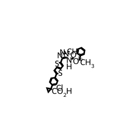 C[C@@H](OC(=O)Nc1c(-c2cc3sc(-c4ccc(C5(C(=O)O)CC5)c(Cl)c4)cc3s2)nnn1C)c1ccccc1